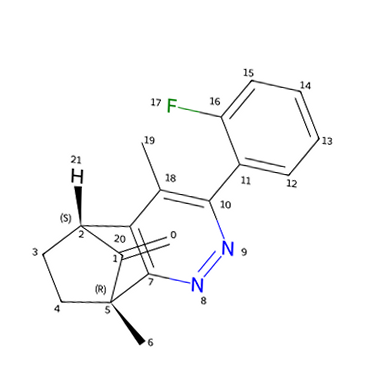 C=C1[C@@H]2CC[C@@]1(C)c1nnc(-c3ccccc3F)c(C)c12